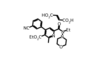 CCOC(=O)c1c(-c2cccc(C#N)c2)cc(C(=O)N(CC)N2CCOCC2)nc1C.O=C(O)C=CC(=O)O